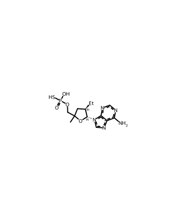 CC[C@@H]1CC(C)(COP(=O)(O)S)O[C@H]1n1cnc2c(N)ncnc21